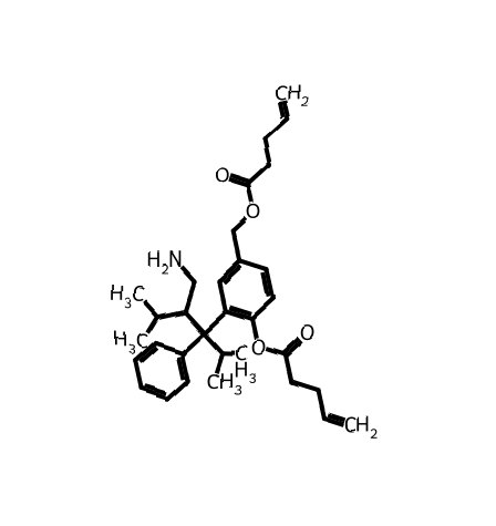 C=CCCC(=O)OCc1ccc(OC(=O)CCC=C)c(C(c2ccccc2)(C(C)C)C(CN)C(C)C)c1